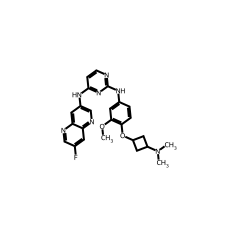 COc1cc(Nc2nccc(Nc3cnc4cc(F)cnc4c3)n2)ccc1OC1CC(N(C)C)C1